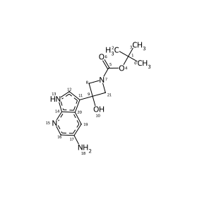 CC(C)(C)OC(=O)N1CC(O)(c2c[nH]c3ncc(N)cc23)C1